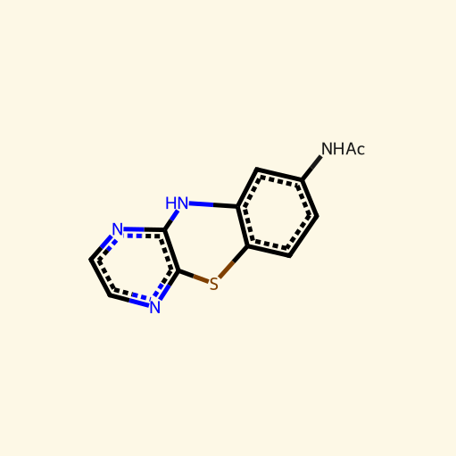 CC(=O)Nc1ccc2c(c1)Nc1nccnc1S2